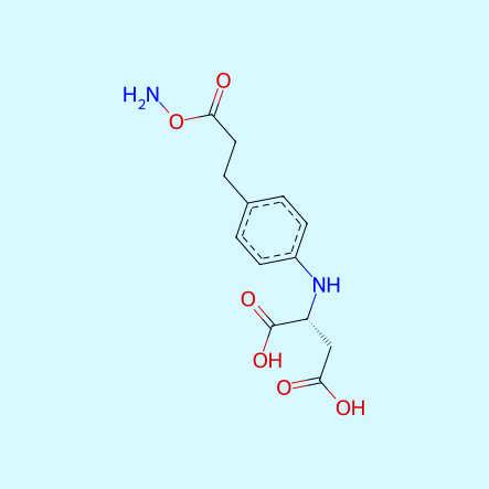 NOC(=O)CCc1ccc(N[C@H](CC(=O)O)C(=O)O)cc1